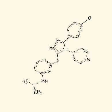 CC(C)Nc1cccc(Cc2[nH]nc(-c3ccc(Cl)cc3)c2-c2ccncc2)c1